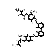 COc1nc(OCc2cccc(-c3cccc(COc4nc(OC)c(CN[C@@H](C)C(N)=O)cc4Cl)c3C)c2C)c(Cl)cc1CN[C@@H](C)C(N)=O